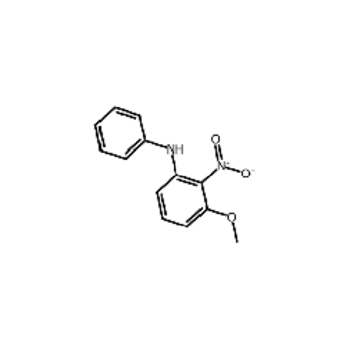 COc1cccc(Nc2ccccc2)c1[N+](=O)[O-]